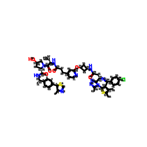 Cc1ncsc1-c1ccc([C@H](C)NC(=O)[C@@H]2C[C@@H](O)CN2C(=O)[C@@H](NC(=O)CCc2ccnc(O[C@H]3C[C@@H](NC(=O)C[C@@H]4N=C(c5ccc(Cl)cc5)c5c(sc(C)c5C)-n5c(C)nnc54)C3)c2)C(C)(C)C)cc1